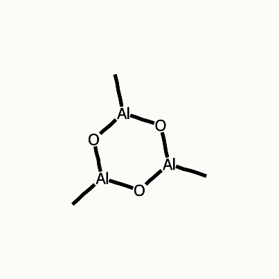 [CH3][Al]1[O][Al]([CH3])[O][Al]([CH3])[O]1